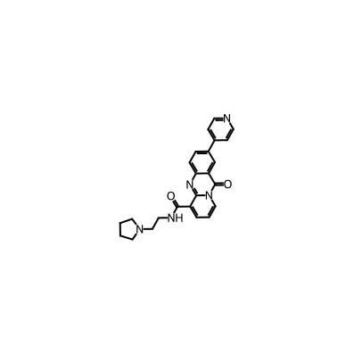 O=C(NCCN1CCCC1)c1cccn2c(=O)c3cc(-c4ccncc4)ccc3nc12